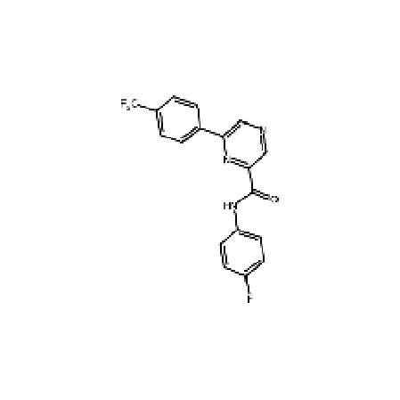 O=C(Nc1ccc(F)cc1)c1cncc(-c2ccc(C(F)(F)F)cc2)n1